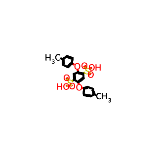 Cc1ccc(Oc2cc(S(=O)(=O)O)c(Oc3ccc(C)cc3)cc2S(=O)(=O)O)cc1